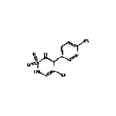 CCC1=CNS(=O)(=O)NC1c1ccc(C#N)cc1